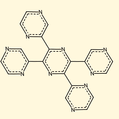 c1cnc(-c2nc(-c3cnccn3)c(-c3cnccn3)nc2-c2cnccn2)cn1